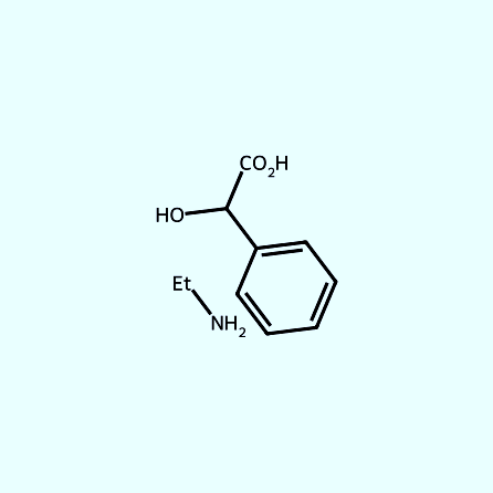 CCN.O=C(O)C(O)c1ccccc1